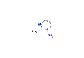 C=C[C@@H]1NC=CC=C1N